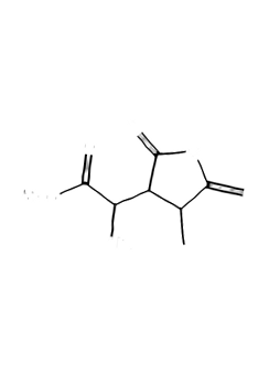 C=C1OC(=O)C(C(CCCC)C(=O)OC)C1C